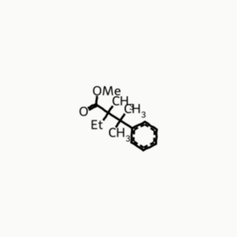 CCC(C)(C(=O)OC)C(C)(C)c1ccccc1